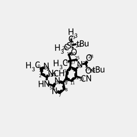 Cc1cc(Nc2nccc(-c3cc(C#N)c4c(c3)C(C)(CO[Si](C)(C)C(C)(C)C)CN4C(=O)OC(C)(C)C)n2)n(C)n1